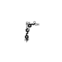 COc1cc(CCC(=O)O)ccc1Oc1ccc(C=Cc2ccc(C(F)(F)F)cc2)cn1